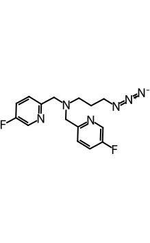 [N-]=[N+]=NCCCN(Cc1ccc(F)cn1)Cc1ccc(F)cn1